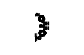 CC(=O)c1ccc(NC(=O)Nc2ccc(OC(F)F)cc2)cc1